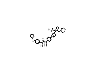 CN(C(=O)CN1CCCCC1)C1CCN(c2ccc(NC(=O)Nc3ccc(OC4CCCC4)cc3)cc2)C1